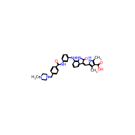 Cc1[nH]c(C=C2C(=O)Nc3c(Nc4cccc(NC(=O)c5ccc(CN6CCN(C)CC6)cc5)c4)cccc32)c(C)c1C(=O)O